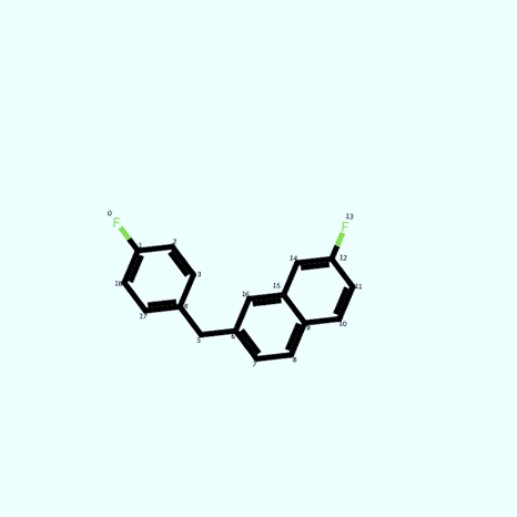 Fc1c[c]c(Cc2ccc3ccc(F)cc3c2)[c]c1